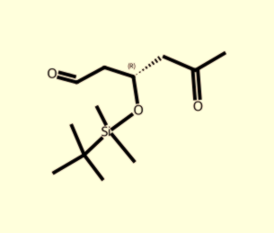 CC(=O)C[C@@H](CC=O)O[Si](C)(C)C(C)(C)C